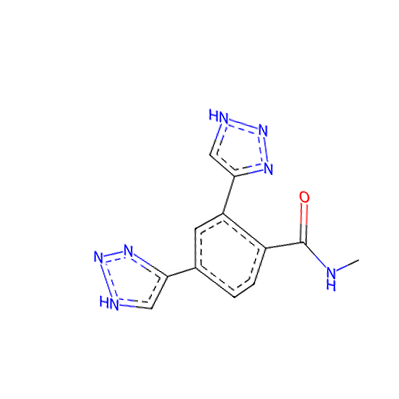 CNC(=O)c1ccc(-c2c[nH]nn2)cc1-c1c[nH]nn1